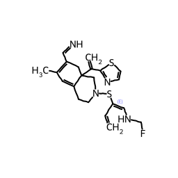 C=C/C(=C\NCF)SN1CCC2=CC(C)=C(C=N)CC2(C(=C)c2nccs2)C1